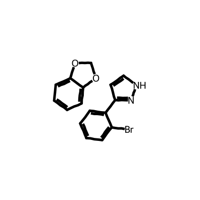 Brc1ccccc1-c1cc[nH]n1.c1ccc2c(c1)OCO2